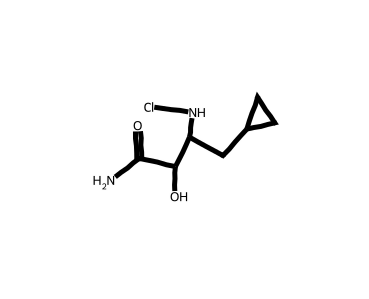 NC(=O)C(O)C(CC1CC1)NCl